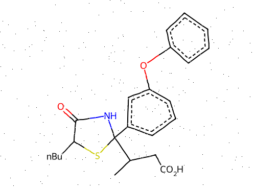 CCCCC1SC(c2cccc(Oc3ccccc3)c2)(C(C)CC(=O)O)NC1=O